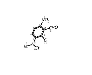 CCN(CC)c1ccc([N+](=O)[O-])c(C=O)c1Cl